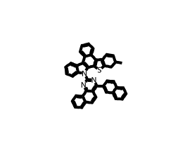 CC1C=Cc2c(sc3c2c2ccccc2c2c4ccccc4n(-c4nc(-c5ccc6ccccc6c5)c5ccc6ccccc6c5n4)c32)C1